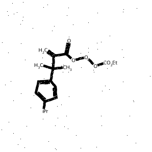 C=C(C(=O)OOOC(=O)OCC)C(C)(C)c1ccc(C(C)C)cc1